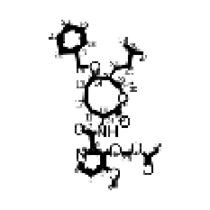 COc1ccnc(C(=O)N[C@H]2CCC[C@H](OCc3ccccc3)[C@@H](CCC(C)C)[C@H](C)OC2=O)c1OCOC(C)=O